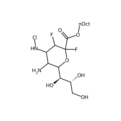 CCCCCCCCOC(=O)C1(F)OC([C@H](O)[C@H](O)CO)C(N)C(NCl)C1F